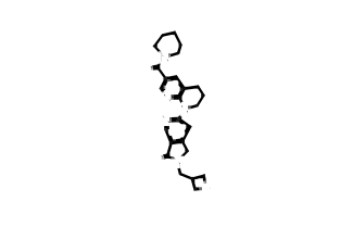 O=C(c1cnc2c(c1)CCCN2c1cc2c(cn1)C(=O)N(CC1COC1)C2)N1CCCCC1